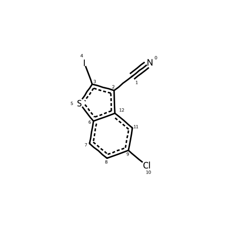 N#Cc1c(I)sc2ccc(Cl)cc12